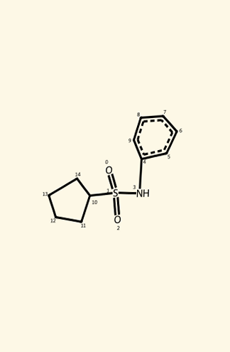 O=S(=O)(Nc1ccccc1)C1CCCC1